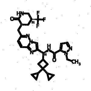 CCn1nccc1C(=O)N[C@H](c1cn2nc(CC3C[C@@H](C(F)(F)F)CNC3=O)ccc2n1)C1CC(C2CC2)(C2CC2)C1